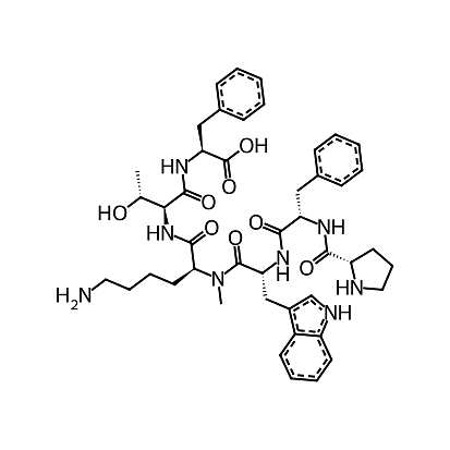 C[C@@H](O)[C@H](NC(=O)[C@H](CCCCN)N(C)C(=O)[C@@H](Cc1c[nH]c2ccccc12)NC(=O)[C@H](Cc1ccccc1)NC(=O)[C@@H]1CCCN1)C(=O)N[C@@H](Cc1ccccc1)C(=O)O